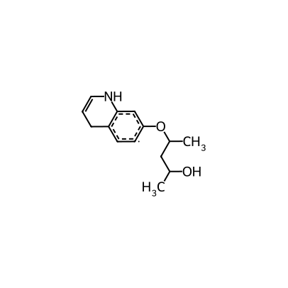 CC(O)CC(C)Oc1[c]cc2c(c1)NC=CC2